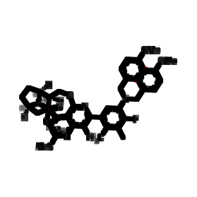 COc1ccc(CN(Cc2ccc(OC)cc2)c2cc(-c3nc4c5c(nc(SC)nc5c3F)N3C[C@H]5CC[C@@H]([C@H]3CO4)N5C(=O)OC(C)(C)C)c(C(F)(F)F)c(C)c2F)cc1